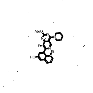 CCc1cccc2cc(O)cc(-c3ncc4c(N5CCCCC5)nc(OC)nc4c3F)c12